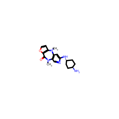 CN1C(=O)c2occc2N(C)c2cc(N[C@H]3CC[C@H](N)CC3)ncc21